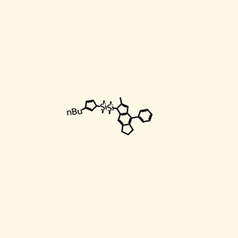 CCCCC1=CC([Si](C)(C)[Si](C)(C)C2C(C)=Cc3c2cc2c(c3-c3ccccc3)CCC2)C=C1